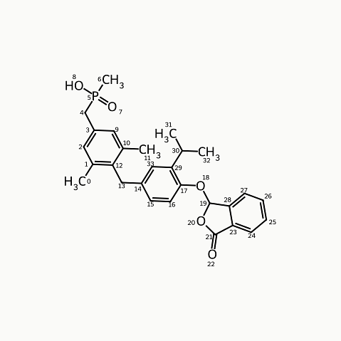 Cc1cc(CP(C)(=O)O)cc(C)c1Cc1ccc(OC2OC(=O)c3ccccc32)c(C(C)C)c1